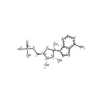 C[C@@]1(n2cnc3c(N)ncnc32)O[C@H](COP(=O)(O)O)[C@@H](O)[C@H]1O